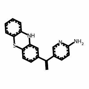 C=C(c1ccc(N)nc1)c1ccc2c(c1)Nc1ccccc1S2